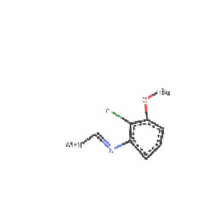 CCCCOc1cccc(N=CNC)c1Cl